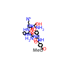 COC(=O)c1ccc(C(=O)N[C@@H](Cc2ccccc2)C(=O)N[C@@H](N)C(=O)N[C@H](C(=O)N[C@@H](CCCC[N+](C)(C)C)C(=O)NC(CO)C(N)=O)C2CCCC2)cc1